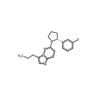 CCCc1cnc2ccc(N3CCC[C@@H]3c3cccc(F)c3)nn12